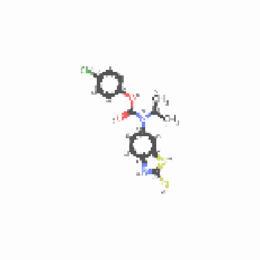 CC(C)N(C(=O)Oc1ccc(Cl)cc1)c1ccc2nc(S)sc2c1